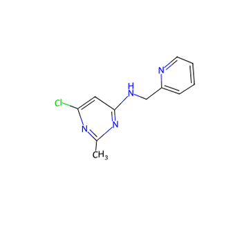 Cc1nc(Cl)cc(NCc2ccccn2)n1